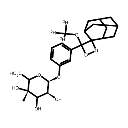 [2H]C([2H])([2H])OC1(c2cccc(O[C@@H]3OC(C(=O)O)[C@@](C)(O)C(O)[C@@H]3O)c2)OOC12C1CC3CC(C1)CC2C3